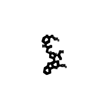 COc1cc(NC(=O)C[C@H]2C[C@@H](C(=O)O)N(c3nc(C)nc4c3oc3ccccc34)C2)ccn1